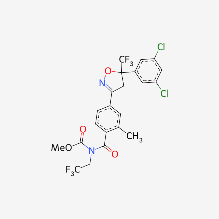 COC(=O)N(CC(F)(F)F)C(=O)c1ccc(C2=NOC(c3cc(Cl)cc(Cl)c3)(C(F)(F)F)C2)cc1C